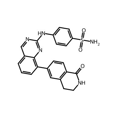 NS(=O)(=O)c1ccc(Nc2ncc3cccc(-c4ccc5c(c4)CCNC5=O)c3n2)cc1